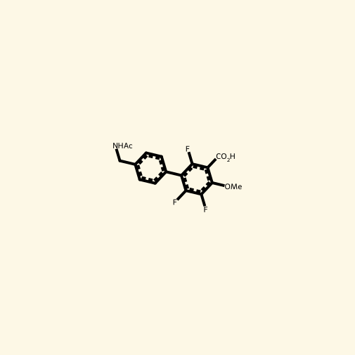 COc1c(F)c(F)c(-c2ccc(CNC(C)=O)cc2)c(F)c1C(=O)O